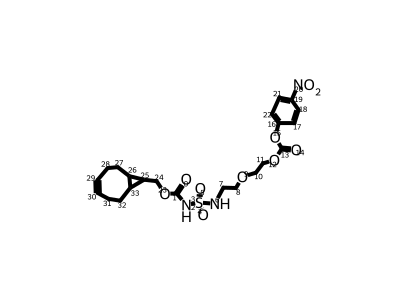 O=C(NS(=O)(=O)NCCOCCOC(=O)Oc1ccc([N+](=O)[O-])cc1)OCC1C2CCC#CCCC21